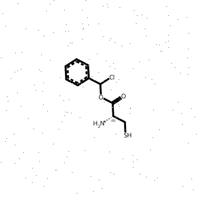 N[C@@H](CS)C(=O)OC(Cl)c1ccccc1